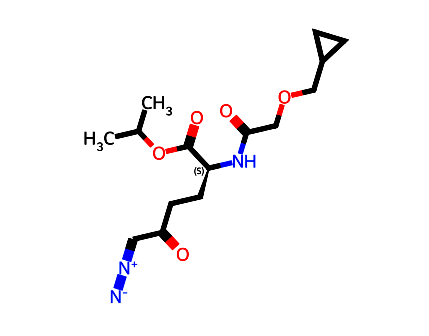 CC(C)OC(=O)[C@H](CCC(=O)C=[N+]=[N-])NC(=O)COCC1CC1